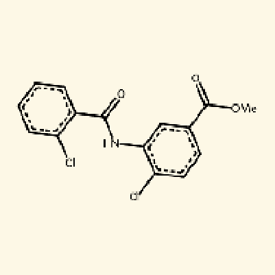 COC(=O)c1ccc(Cl)c(NC(=O)c2ccccc2Cl)c1